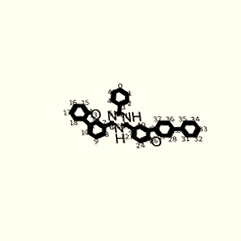 c1ccc(C2=NC(c3cccc4c3oc3ccccc34)NC(c3ccc4oc5cc(-c6ccccc6)ccc5c4c3)N2)cc1